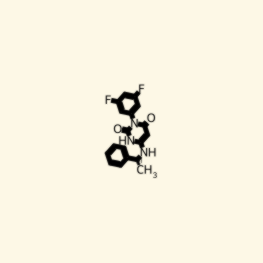 C[C@H](Nc1cc(=O)n(-c2cc(F)cc(F)c2)c(=O)[nH]1)c1ccccc1